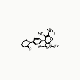 CC(C)c1nn(C(C)C)c2c1C(c1ccc(N3CCCCC3=O)cc1)C(C#N)=C(N)O2